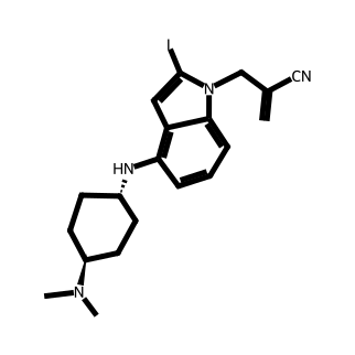 C=C(C#N)Cn1c(I)cc2c(N[C@H]3CC[C@H](N(C)C)CC3)cccc21